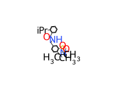 CC(C)c1ccccc1C(=O)NCc1ccc2c(c1)S(=O)(=O)N(C)C2(C)C